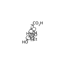 CC[C@H]1C(=O)[C@@H]2[C@H](CC[C@]3(C)C([C@H](C)C(=O)O)CC[C@@H]23)[C@@]2(C)CC[C@@H](O)C[C@@H]12